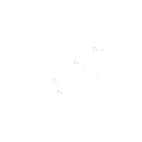 CCCNCC(C)(O)C(N)c1cccc2c1cnn2-c1ccccc1